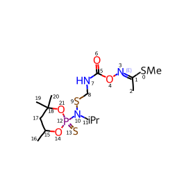 CS/C(C)=N/OC(=O)NCSN(C(C)C)P1(=S)OC(C)CC(C)(C)O1